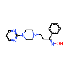 O/N=C(/CCN1CCN(c2ncccn2)CC1)c1ccccc1